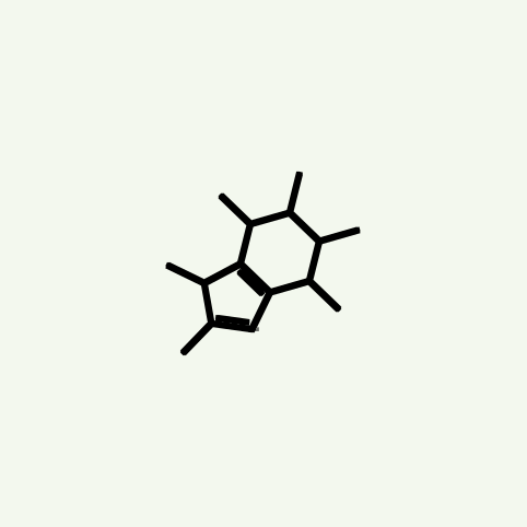 CC1=[C]C2=C(C1C)C(C)C(C)C(C)C2C